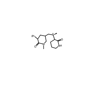 CC(C)C1CC(C[C@@H](C)C2CCCNC2=O)CN(C)C1=O